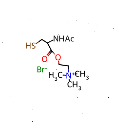 CC(=O)NC(CS)C(=O)OCC[N+](C)(C)C.[Br-]